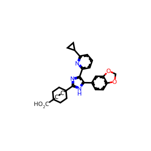 O=C(O)C12CCC(c3nc(-c4cccc(C5CC5)n4)c(-c4ccc5c(c4)OCO5)[nH]3)(CC1)CC2